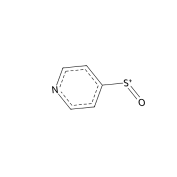 O=[S+]c1ccncc1